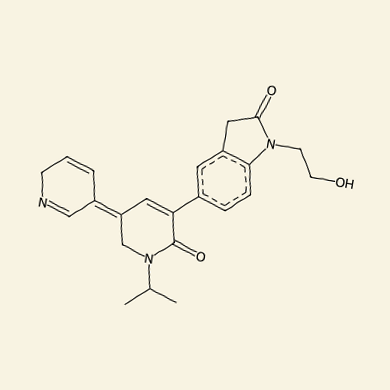 CC(C)N1CC(=C2C=CCN=C2)C=C(c2ccc3c(c2)CC(=O)N3CCO)C1=O